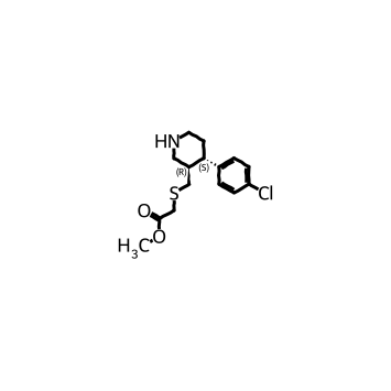 COC(=O)CSC[C@H]1CNCC[C@@H]1c1ccc(Cl)cc1